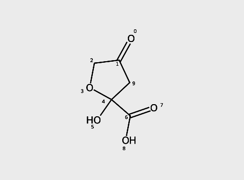 O=C1COC(O)(C(=O)O)C1